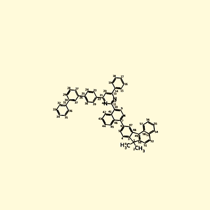 CC1(C)c2ccc(-c3ccc(-c4nc(-c5ccccc5)cc(-c5ccc(-c6cccc(-c7ccccc7)c6)cc5)n4)c4ccccc34)cc2-c2c1ccc1ccccc21